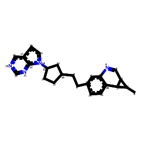 CC1C2C=Nc3cc(CCC4CCC(n5ccc6cncnc65)C4)ccc3C12